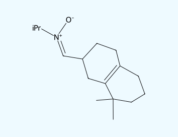 CC(C)[N+]([O-])=CC1CCC2=C(C1)C(C)(C)CCC2